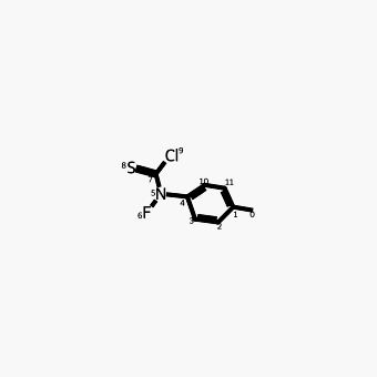 Cc1ccc(N(F)C(=S)Cl)cc1